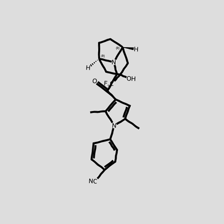 Cc1cc(C(=O)CN2[C@@H]3CC[C@@H]2CC(O)(C(F)(F)F)C3)c(C)n1-c1ccc(C#N)cc1